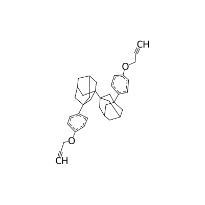 C#CCOc1ccc(C23CC4CC(C2)CC(C25CC6CC(CC(c7ccc(OCC#C)cc7)(C6)C2)C5)(C4)C3)cc1